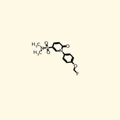 CN(C)S(=O)(=O)c1ccc(=O)n(-c2ccc(OCF)cc2)c1